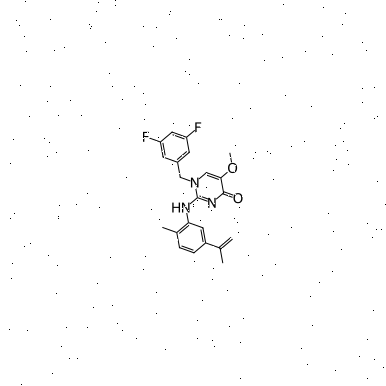 C=C(C)c1ccc(C)c(Nc2nc(=O)c(OC)cn2Cc2cc(F)cc(F)c2)c1